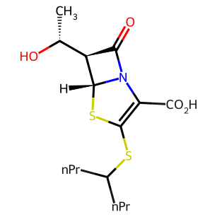 CCCC(CCC)SC1=C(C(=O)O)N2C(=O)[C@H]([C@@H](C)O)[C@H]2S1